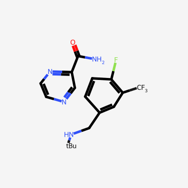 CC(C)(C)NCc1ccc(F)c(C(F)(F)F)c1.NC(=O)c1cnccn1